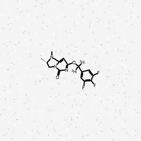 [2H]C([2H])(Oc1cc2n(c(=O)n1)C[C@H](C)N2C)c1cc(F)c(F)c(F)c1